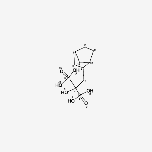 O=P(O)(O)C(O)(CC1CC2CCC1C2)P(=O)(O)O